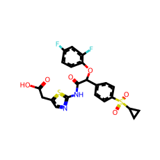 O=C(O)Cc1cnc(NC(=O)C(Oc2ccc(F)cc2F)c2ccc(S(=O)(=O)C3CC3)cc2)s1